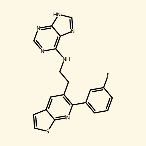 Fc1cccc(-c2nc3sccc3cc2CCNc2ncnc3[nH]cnc23)c1